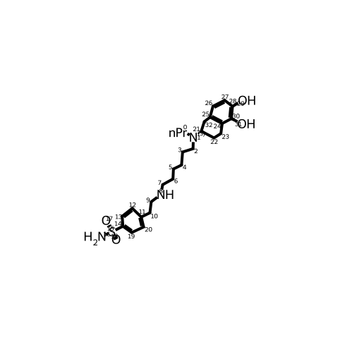 CCCN(CCCCCCNCCc1ccc(S(N)(=O)=O)cc1)[C@H]1CCc2c(ccc(O)c2O)C1